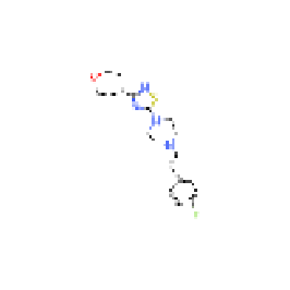 Fc1ccc(CCN2CCN(c3nc(C4CCOCC4)ns3)CC2)cc1